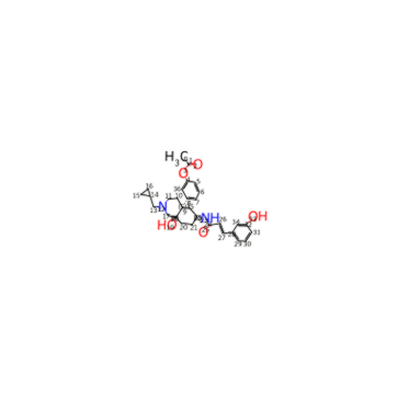 CC(=O)Oc1cccc([C@@]23CCN(CC4CC4)C[C@@]2(O)CC[C@@H](NC(=O)C=Cc2cccc(O)c2)C3)c1